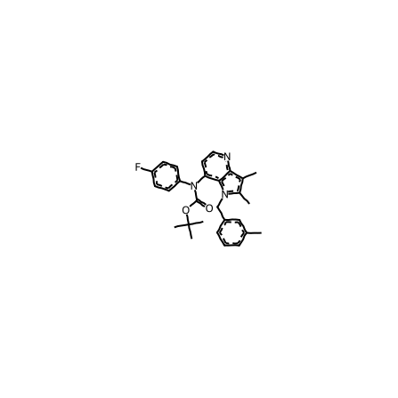 Cc1cccc(Cn2c(C)c(C)c3nccc(N(C(=O)OC(C)(C)C)c4ccc(F)cc4)c32)c1